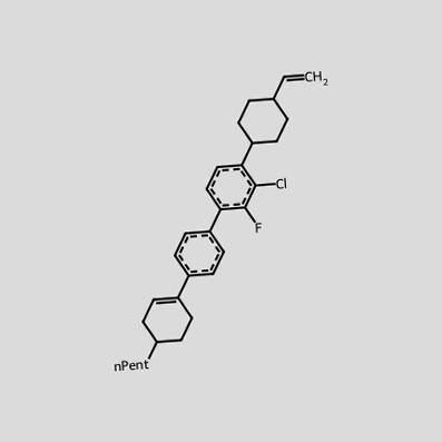 C=CC1CCC(c2ccc(-c3ccc(C4=CCC(CCCCC)CC4)cc3)c(F)c2Cl)CC1